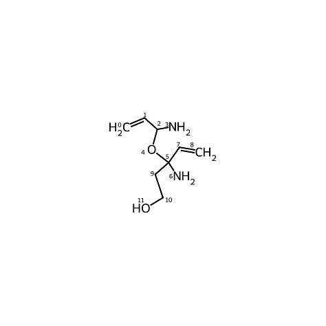 C=CC(N)OC(N)(C=C)CCO